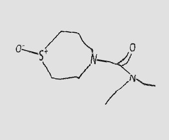 CN(C)C(=O)N1CC[S+]([O-])CC1